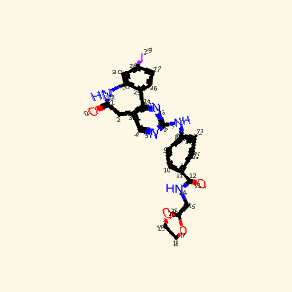 O=C1Cc2cnc(Nc3ccc(C(=O)NCC4OCCO4)cc3)nc2-c2ccc(I)cc2N1